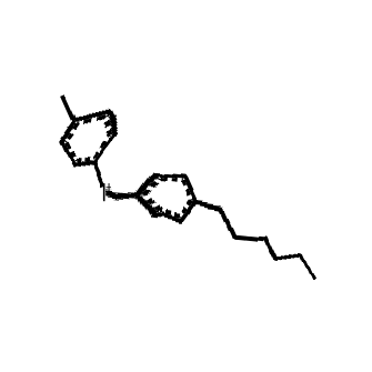 CCCCCCc1ccc([I+]c2ccc(C)cc2)cc1